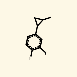 CC1CC1c1ccc(F)c(F)c1